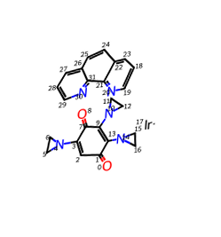 O=C1C=C(N2CC2)C(=O)C(N2CC2)=C1N1CC1.[Ir].c1cnc2c(c1)ccc1cccnc12